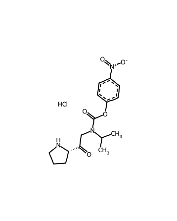 CC(C)N(CC(=O)[C@@H]1CCCN1)C(=O)Oc1ccc([N+](=O)[O-])cc1.Cl